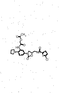 CC(=O)OCC(=O)Nc1cc(N2CC(CNC(=O)c3ccc(Cl)s3)OC2=O)ccc1N1CCCC1